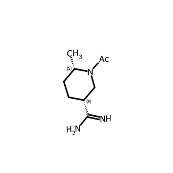 CC(=O)N1C[C@H](C(=N)N)CC[C@@H]1C